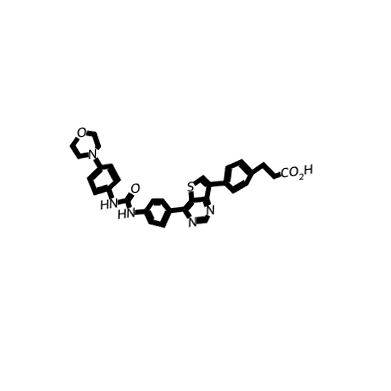 O=C(O)CCc1ccc(-c2csc3c(-c4ccc(NC(=O)Nc5ccc(N6CCOCC6)cc5)cc4)ncnc23)cc1